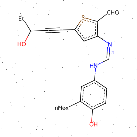 CCCCCCc1cc(N/C=N\c2cc(C#CC(O)CC)sc2C=O)ccc1O